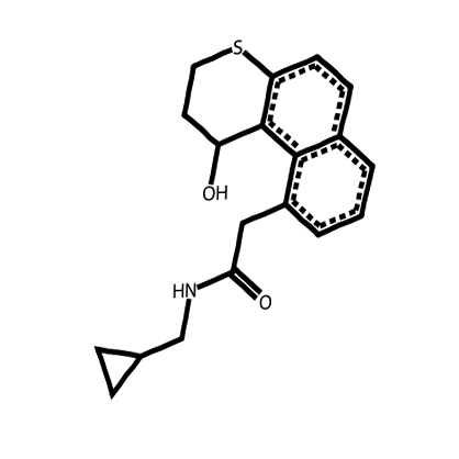 O=C(Cc1cccc2ccc3c(c12)C(O)CCS3)NCC1CC1